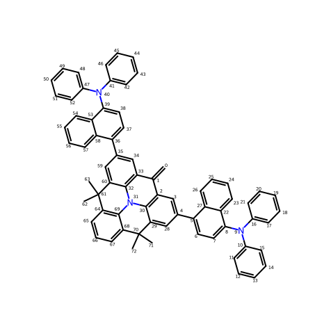 C=C1c2cc(-c3ccc(N(c4ccccc4)c4ccccc4)c4ccccc34)cc3c2N2c4c1cc(-c1ccc(N(c5ccccc5)c5ccccc5)c5ccccc15)cc4C(C)(C)c1cccc(c12)C3(C)C